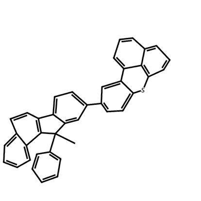 CC1(c2ccccc2)c2cc(-c3ccc4c(c3)-c3cccc5cccc(c35)S4)ccc2-c2ccc3ccccc3c21